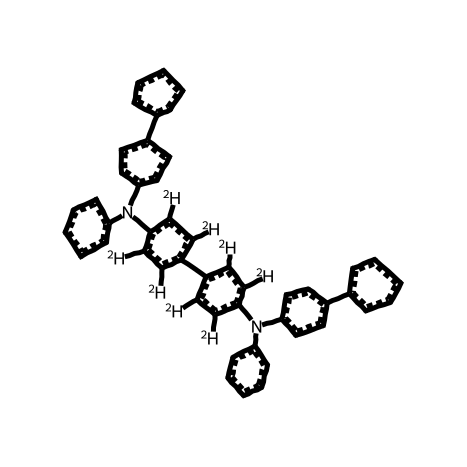 [2H]c1c([2H])c(N(c2ccccc2)c2ccc(-c3ccccc3)cc2)c([2H])c([2H])c1-c1c([2H])c([2H])c(N(c2ccccc2)c2ccc(-c3ccccc3)cc2)c([2H])c1[2H]